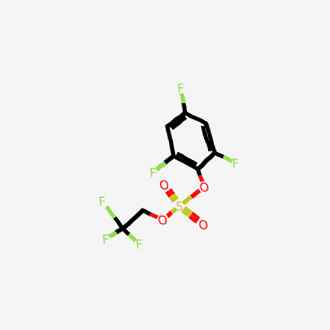 O=S(=O)(OCC(F)(F)F)Oc1c(F)cc(F)cc1F